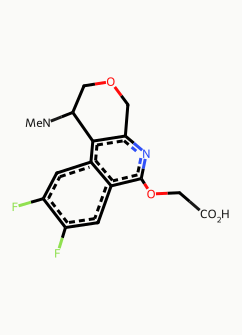 CNC1COCc2nc(OCC(=O)O)c3cc(F)c(F)cc3c21